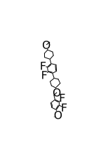 COc1ccc(COC2CCC(c3ccc(C4CCC(OC)CC4)c(F)c3F)CC2)c(F)c1F